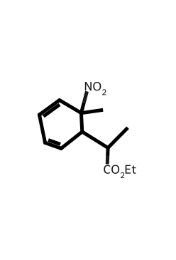 CCOC(=O)C(C)C1C=CC=CC1(C)[N+](=O)[O-]